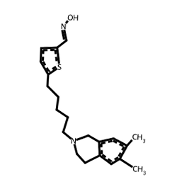 Cc1cc2c(cc1C)CN(CCCCCc1ccc(/C=N/O)s1)CC2